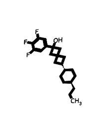 CCC[C@H]1CC[C@H](C2CC3(C2)CC(O)(c2cc(F)c(F)c(F)c2)C3)CC1